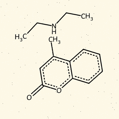 CCNCC.Cc1cc(=O)oc2ccccc12